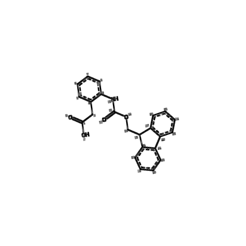 O=C(O)Cc1ccccc1NC(=O)OCC1c2ccccc2-c2ccccc21